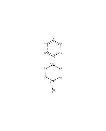 CC(=O)N1CCN(c2c[c]ccc2)CC1